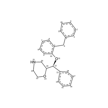 c1ccc(Cc2ccccc2O[C@@H](c2ccccc2)C2CNCCO2)cc1